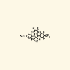 COc1ccc(-c2c3c(F)cccc3c(-c3c(F)c(F)c(C(F)(F)F)c(F)c3F)c3c(F)c(F)c(F)c(F)c23)cc1